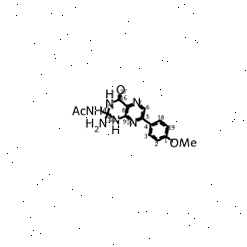 COc1ccc(-c2cnc3c(n2)NC(N)(NC(C)=O)NC3=O)cc1